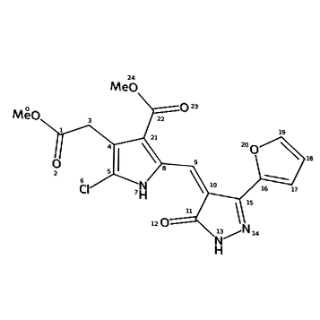 COC(=O)Cc1c(Cl)[nH]c(C=C2C(=O)NN=C2c2ccco2)c1C(=O)OC